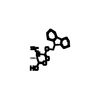 C[C@@H](C(=O)O)N([13CH3])C(=O)OCC1c2ccccc2-c2ccccc21